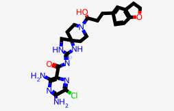 Nc1nc(N)c(C(=O)/N=C2\NCC3(CCN(C(O)CCc4ccc5c(c4)CCO5)CC3)N2)nc1Cl